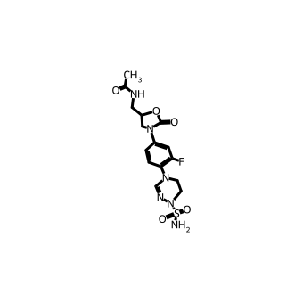 CC(=O)NCC1CN(c2ccc(N3C=NN(S(N)(=O)=O)CC3)c(F)c2)C(=O)O1